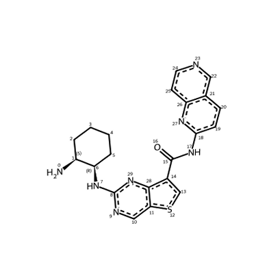 N[C@H]1CCCC[C@H]1Nc1ncc2scc(C(=O)Nc3ccc4cnccc4n3)c2n1